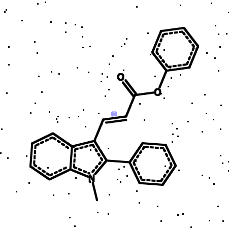 Cn1c(-c2ccccc2)c(/C=C/C(=O)Oc2ccccc2)c2ccccc21